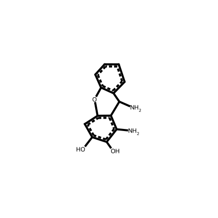 Nc1c(O)c(O)cc2c1C(N)c1ccccc1O2